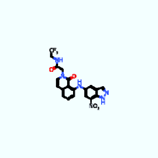 O=C(Cn1ccc2cccc(Nc3cc([N+](=O)[O-])c4[nH]ncc4c3)c2c1=O)NCC(F)(F)F